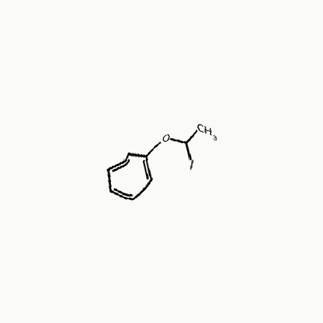 CC(I)Oc1ccccc1